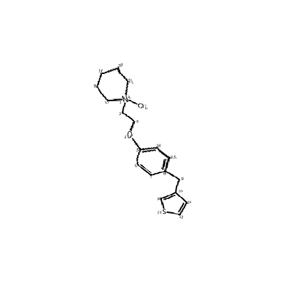 [O-][N+]1(CCOc2ccc(Cc3ccsc3)cc2)CCCCC1